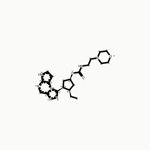 CC[C@@H]1C[C@H](OC(=O)NCCN2CCOCC2)C[C@@H]1c1nnc2cnc3[nH]ccc3n12